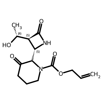 C=CCOC(=O)N1CCCC(=O)C1[C@H]1NC(=O)[C@@H]1[C@@H](C)O